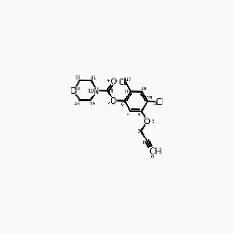 C#CCOc1cc(OC(=O)N2CCOCC2)c(Cl)cc1Cl